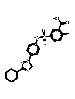 Cc1ccc(S(=O)(=O)Nc2ccc(N3CN=C(C4CCCCC4)O3)cc2)cc1C(=O)O